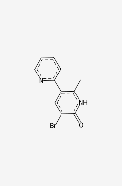 Cc1[nH]c(=O)c(Br)cc1-c1ccccn1